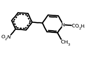 CC1=CC(c2cccc([N+](=O)[O-])c2)C=CN1C(=O)O